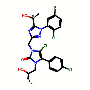 C[C@H](O)c1nc(Cn2c(Cl)c(-c3ccc(Cl)cc3)n(CC(O)C(F)(F)F)c2=O)nn1-c1cc(F)ccc1Cl